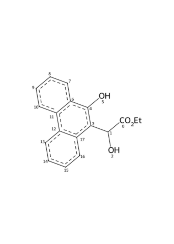 CCOC(=O)C(O)c1c(O)c2ccccc2c2ccccc12